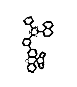 c1ccc(-c2nc(-c3cccc(-c4ccc5c(c4)Oc4ccccc4C54c5ccccc5-c5ccccc54)c3)nc(-c3cccc4ccccc34)n2)cc1